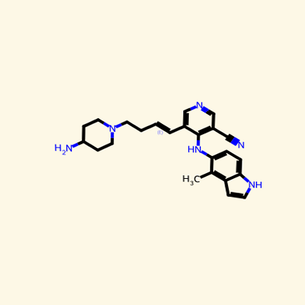 Cc1c(Nc2c(C#N)cncc2/C=C/CCN2CCC(N)CC2)ccc2[nH]ccc12